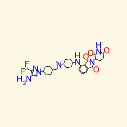 CN(CC1CCC(n2cc(N)c(C(F)F)n2)CC1)C1CCC(Nc2cccc3c2C(=O)N(C2CCC(=O)NC2=O)C3=O)CC1